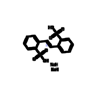 O=S(=O)(O)c1ccccc1/C=C/c1ccccc1S(=O)(=O)O.[NaH].[NaH]